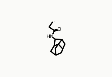 [CH2]CC(=O)NC1C2CC3CC(C2)CC1C3